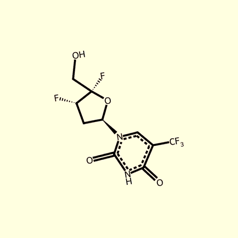 O=c1[nH]c(=O)n([C@H]2C[C@H](F)[C@@](F)(CO)O2)cc1C(F)(F)F